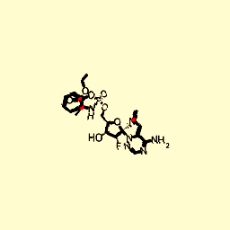 C=C/C=C1/C(N)=NC=NN1[C@]1(C#N)O[C@H](COP(=O)(N[C@@H](C)C(=O)OCC)Oc2ccccc2)[C@@H](O)[C@H]1F